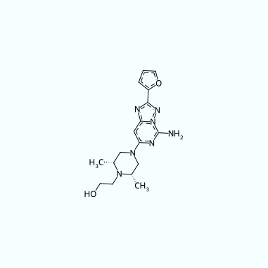 C[C@@H]1CN(c2cc3nc(-c4ccco4)nn3c(N)n2)C[C@H](C)N1CCO